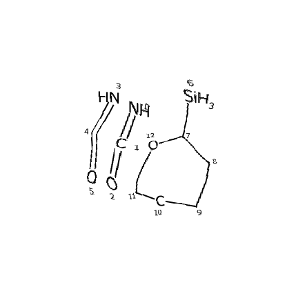 N=C=O.N=C=O.[SiH3]C1CCCCO1